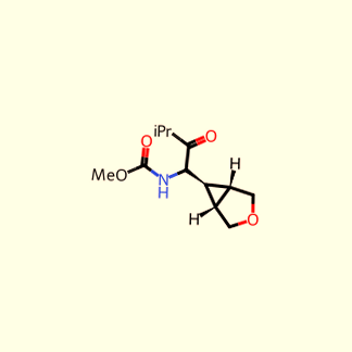 COC(=O)NC(C(=O)C(C)C)[C@H]1[C@@H]2COC[C@@H]21